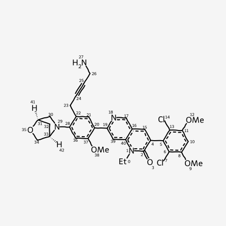 CCn1c(=O)c(-c2c(Cl)c(OC)cc(OC)c2Cl)cc2cnc(-c3cc(CC#CCN)c(N4C[C@H]5C[C@@H]4CO5)cc3OC)cc21